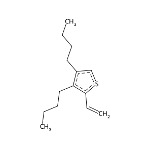 C=Cc1scc(CCCC)c1CCCC